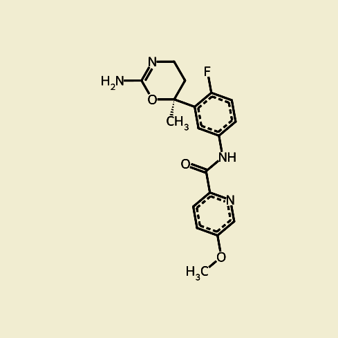 COc1ccc(C(=O)Nc2ccc(F)c([C@]3(C)CCN=C(N)O3)c2)nc1